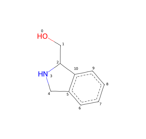 OCC1NCc2ccccc21